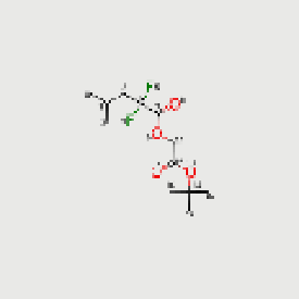 CC(C)CC(F)(F)C(=O)OCC(=O)OC(C)(C)C